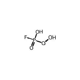 O=P(O)(F)OO